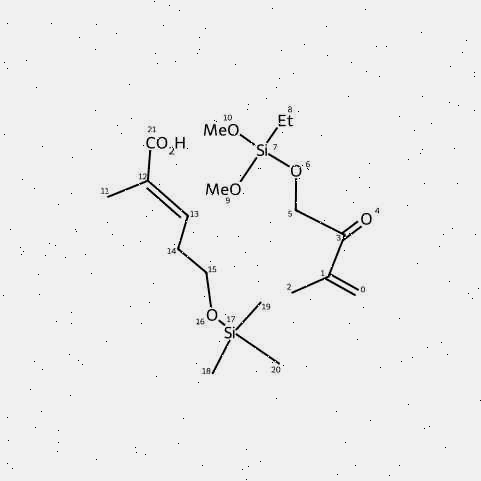 C=C(C)C(=O)CO[Si](CC)(OC)OC.CC(=CCCO[Si](C)(C)C)C(=O)O